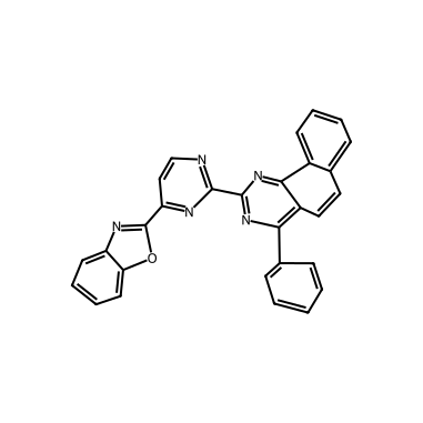 c1ccc(-c2nc(-c3nccc(-c4nc5ccccc5o4)n3)nc3c2ccc2ccccc23)cc1